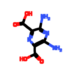 Nc1nc(N)c(C(=O)O)nc1C(=O)O